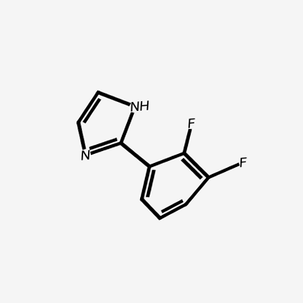 Fc1cccc(-c2ncc[nH]2)c1F